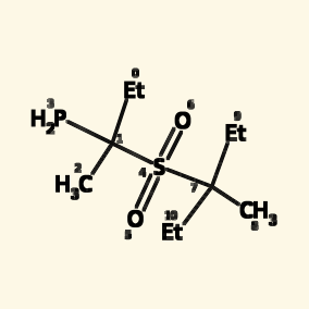 CCC(C)(P)S(=O)(=O)C(C)(CC)CC